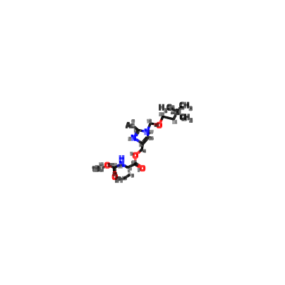 CC(=O)c1nc(COC(=O)[C@H](CC(C)C)NC(=O)OC(C)(C)C)cn1COCC[Si](C)(C)C